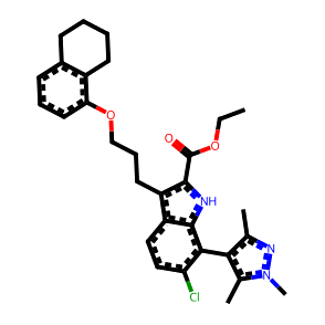 CCOC(=O)c1[nH]c2c(-c3c(C)nn(C)c3C)c(Cl)ccc2c1CCCOc1cccc2c1CCCC2